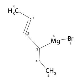 CC=C[CH](CC)[Mg][Br]